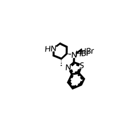 Br.Br.C[C@@H]1CNCC[C@@H]1N(C)c1nc2ccccc2s1